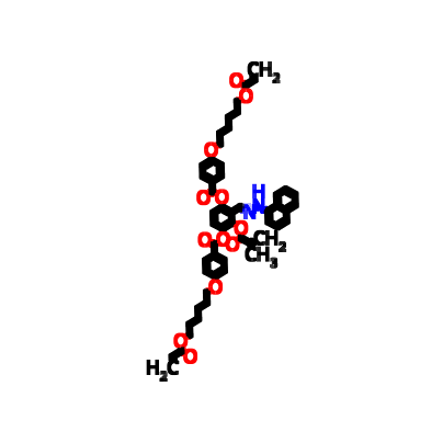 C=CC(=O)OCCCCCCOc1ccc(C(=O)Oc2ccc(OC(=O)c3ccc(OCCCCCCOC(=O)C=C)cc3)c(OC(=O)C(=C)C)c2/C=N/Nc2cccc3ccccc23)cc1